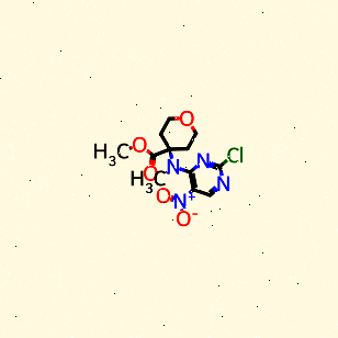 COC(=O)C1(N(C)c2nc(Cl)ncc2[N+](=O)[O-])CCOCC1